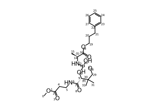 COC(=O)CCNC(=O)[C@@H]1O[PH](O)(N[C@@H](C)C(=O)OCCCc2ccccc2)OCC1(C)C